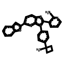 Nc1ncccc1-c1nc2ccc(-c3cc4ccccc4o3)nc2n1-c1ccc(C2(N)CCC2)cc1